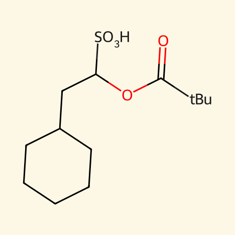 CC(C)(C)C(=O)OC(CC1CCCCC1)S(=O)(=O)O